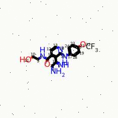 N=C(CN)c1c(C(=O)NCCO)ccnc1Nc1ccc(OC(F)(F)F)cc1